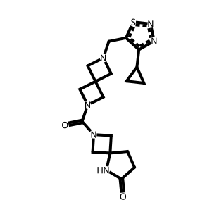 O=C1CCC2(CN(C(=O)N3CC4(CN(Cc5snnc5C5CC5)C4)C3)C2)N1